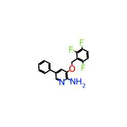 Nc1ncc(-c2ccccc2)cc1OCc1c(F)ccc(F)c1F